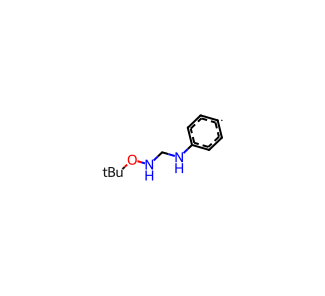 CC(C)(C)ONCNc1cc[c]cc1